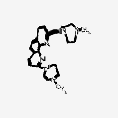 CN1CCN(c2ccc3ccc4ccc(N5CCN(C)CC5)nc4c3n2)CC1